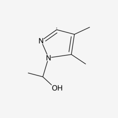 Cc1[c]nn(C(C)O)c1C